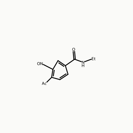 CCNC(=O)c1ccc(C(C)=O)c(N=O)c1